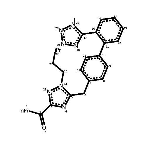 CCCC(=O)c1nc(Cc2ccc(-c3ccccc3-c3nnn[nH]3)cc2)n(CCC(C)C)n1